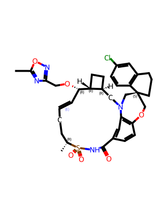 Cc1nc(CO[C@H]2/C=C/CC[C@@H](C)S(=O)(=O)NC(=O)c3ccc4c(c3)N(C[C@@H]3CC[C@H]32)C[C@@]2(CCCc3cc(Cl)ccc32)CO4)no1